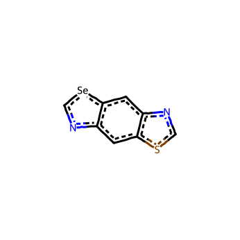 c1nc2cc3[se]cnc3cc2s1